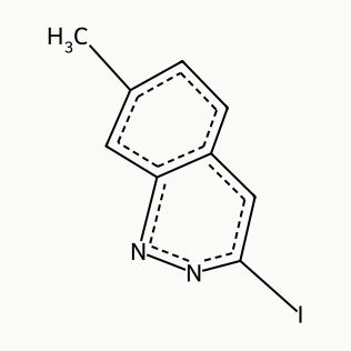 Cc1ccc2cc(I)nnc2c1